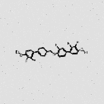 CCOc1ccc(C2=CCC(COc3ccc(-c4ccc(OCC)c(F)c4F)cc3F)CC2)c(F)c1F